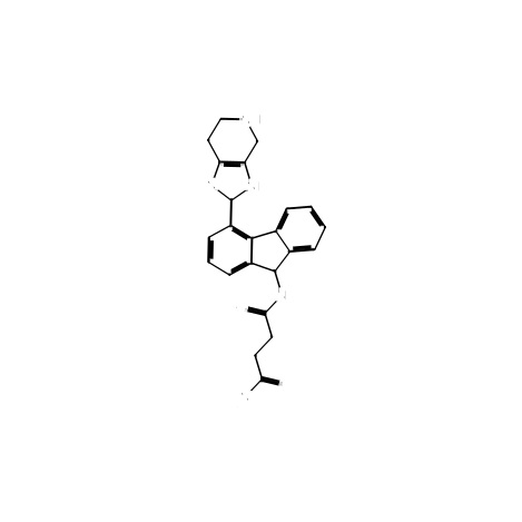 NC(=O)CCC(=O)NC1c2ccccc2-c2c(C3NC4=C(CNCC4)N3)cccc21